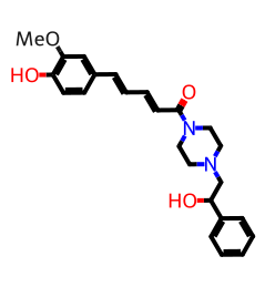 COc1cc(C=CC=CC(=O)N2CCN(CC(O)c3ccccc3)CC2)ccc1O